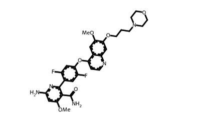 COc1cc2c(Oc3cc(F)c(-c4nc(N)cc(OC)c4C(N)=O)cc3F)ccnc2cc1OCCCN1CCOCC1